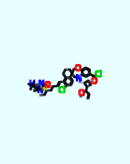 C=C[C@H](OC)[C@@H]1CC[C@H]1CN1C[C@@]2(CCCc3c2ccc(Cl)c3/C=C/CC[C@@H](CC)S(N)(=O)=N[Si](C)(C)C(C)(C)C)COc2ccc(C(=O)Cl)cc21